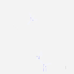 C=C=C(/C=C(\C)C1=NNC(C(F)(F)F)C1)N(C)CC(=C)C